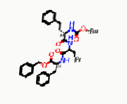 CC(C)CC(NC(=O)[C@H](CCc1ccccc1)NC(=O)OC(C)(C)C)C(=O)N[C@@H](Cc1ccccc1)C(=O)OCc1ccccc1